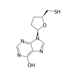 Oc1ncnc2c1ncn2[C@H]1CC[C@@H](CS)O1